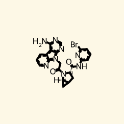 Nc1ncnc2c1c1cccnc1n2CC(=O)N1[C@@H]2CC2C[C@H]1C(=O)Nc1cccc(Br)n1